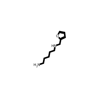 NCCCCCNCc1ccco1